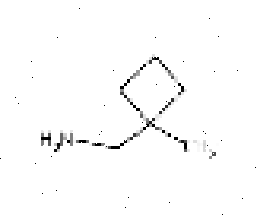 [CH2]C1(CN)CCC1